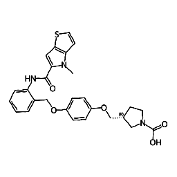 Cn1c(C(=O)Nc2ccccc2COc2ccc(OC[C@@H]3CCN(C(=O)O)C3)cc2)cc2sccc21